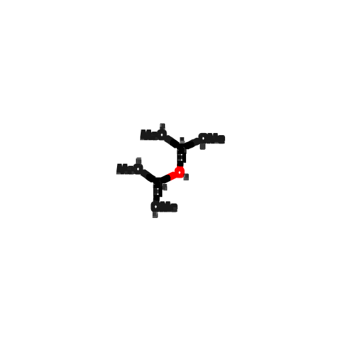 CO[SiH](OC)O[SiH](OC)OC